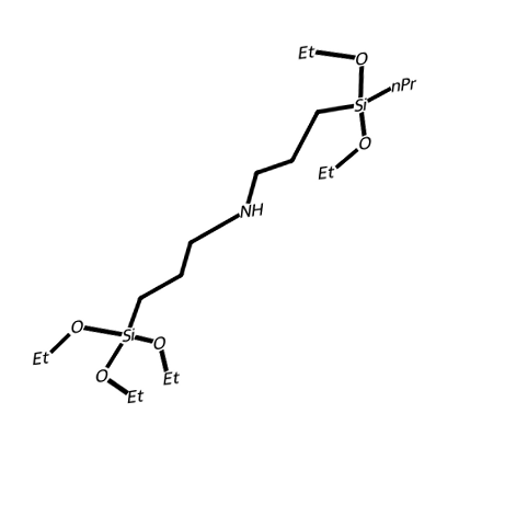 CCC[Si](CCCNCCC[Si](OCC)(OCC)OCC)(OCC)OCC